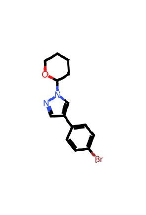 Brc1ccc(-c2cnn(C3CCCCO3)c2)cc1